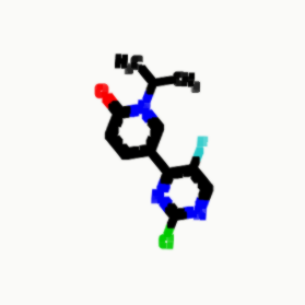 CC(C)n1cc(-c2nc(Cl)ncc2F)ccc1=O